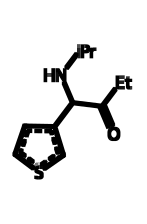 CCC(=O)C(NC(C)C)c1ccsc1